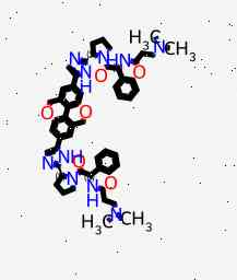 CN(C)CCC(=O)N[C@@H](C(=O)N1CCC[C@H]1c1ncc(-c2cc3c4c(c2)OCc2cc(-c5cnc([C@@H]6CCCN6C(=O)[C@H](NC(=O)CCN(C)C)c6ccccc6)[nH]5)cc(c2-4)OC3)[nH]1)c1ccccc1